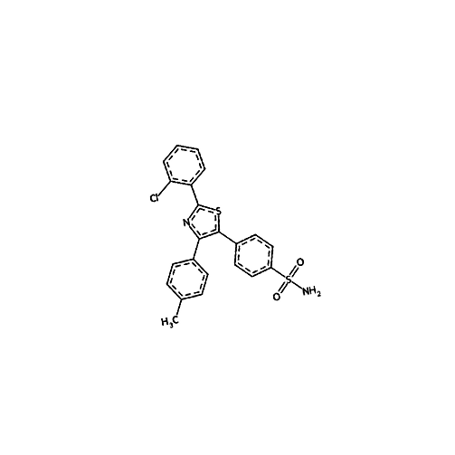 Cc1ccc(-c2nc(-c3ccccc3Cl)sc2-c2ccc(S(N)(=O)=O)cc2)cc1